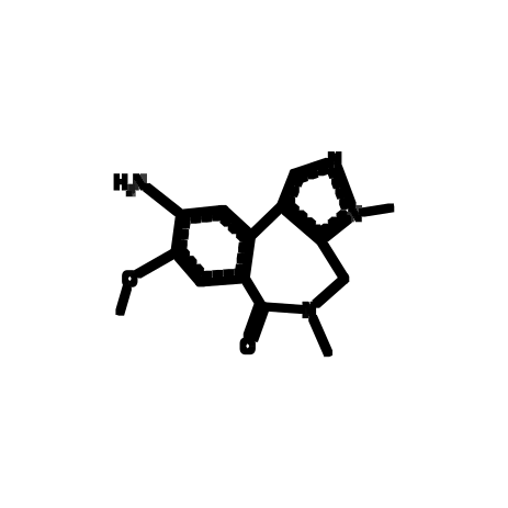 COc1cc2c(cc1N)-c1cnn(C)c1CN(C)C2=O